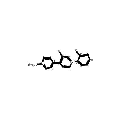 CCCCCCC[n+]1ccc(-c2cc[n+](-c3ccccc3C)cc2C)cc1